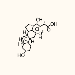 C[C@H](CCC(=O)O)[C@H]1CCC2[C@@H]3CC[C@@H]4C[C@H](O)CC[C@]4(C)[C@H]3C[C@H](O)[C@@]21C